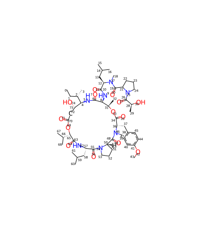 CC[C@H](C)[C@H]1NC(=O)[C@@H](NC(=O)[C@@H](CC(C)C)N(C)C(=O)C2CCCN2C(=O)[C@H](C)O)[C@@H](C)OC(=O)[C@H](Cc2ccc(OC)cc2)N(C)C(=O)[C@@H]2CCCN2C(=O)[C@H](CC(C)C)NC(=O)[C@H](C(C)C)OC(=O)C[C@@H]1O